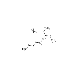 CCCC[O][Ti+2][N](CC)CC.[Cl-].[Cl-]